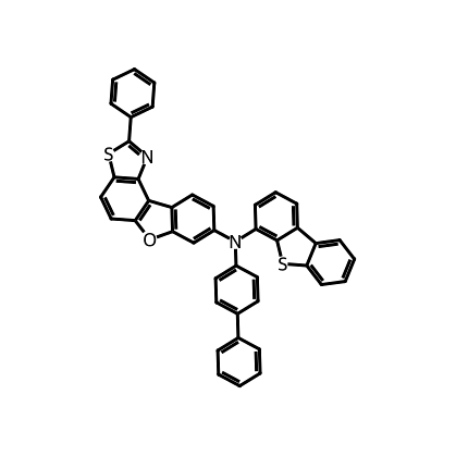 c1ccc(-c2ccc(N(c3ccc4c(c3)oc3ccc5sc(-c6ccccc6)nc5c34)c3cccc4c3sc3ccccc34)cc2)cc1